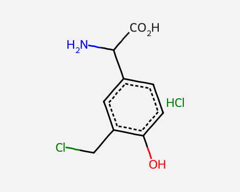 Cl.NC(C(=O)O)c1ccc(O)c(CCl)c1